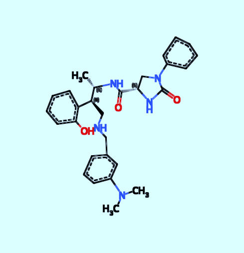 C[C@H](NC(=O)[C@@H]1CN(c2ccccc2)C(=O)N1)[C@@H](CNCc1cccc(N(C)C)c1)c1ccccc1O